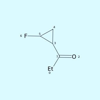 CCC(=O)C1CC1F